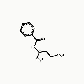 O=C(N[C@@H](CCS(=O)(=O)O)C(=O)O)c1ccccn1